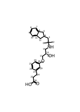 CC(C)(CC1Cc2ccccc2C1)NC[C@@H](O)COc1cccc(CCC(=O)O)c1